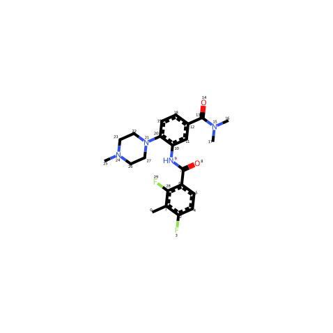 Cc1c(F)ccc(C(=O)Nc2cc(C(=O)N(C)C)ccc2N2CCN(C)CC2)c1F